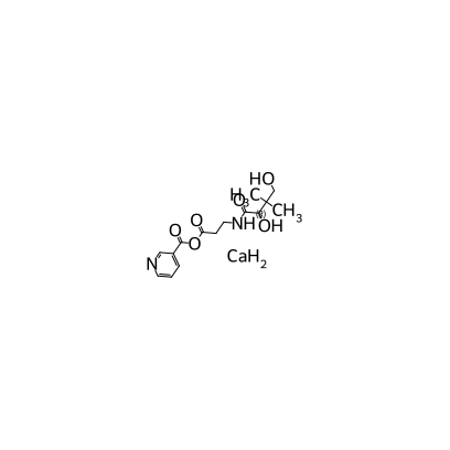 CC(C)(CO)[C@@H](O)C(=O)NCCC(=O)OC(=O)c1cccnc1.[CaH2]